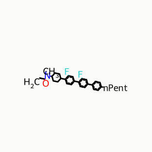 C=CC(=O)N(C)C1CCC(c2ccc(-c3ccc(-c4ccc(CCCCC)cc4)cc3F)cc2F)CC1